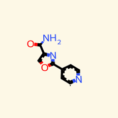 NC(=O)c1coc(-c2c[c]ncc2)n1